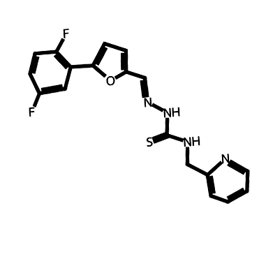 Fc1ccc(F)c(-c2ccc(C=NNC(=S)NCc3ccccn3)o2)c1